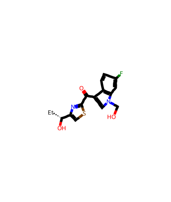 CC[C@@H](O)c1csc(C(=O)c2cn(CO)c3cc(F)ccc23)n1